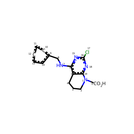 O=C(O)N1CCCc2c(NCc3ccccc3)nc(Cl)nc21